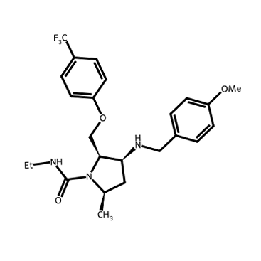 CCNC(=O)N1[C@H](C)C[C@H](NCc2ccc(OC)cc2)[C@@H]1COc1ccc(C(F)(F)F)cc1